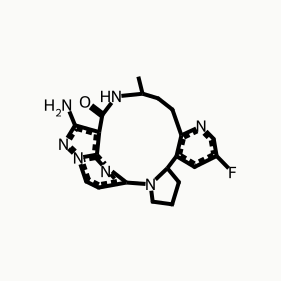 CC1CCc2ncc(F)cc2C2CCCN2c2ccn3nc(N)c(c3n2)C(=O)N1